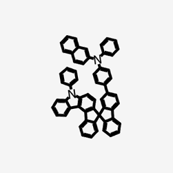 c1ccc(N(c2ccc(-c3ccc4c(c3)C3(c5ccccc5-4)c4ccccc4-c4c3ccc3c4c4ccccc4n3-c3ccccc3)cc2)c2ccc3ccccc3c2)cc1